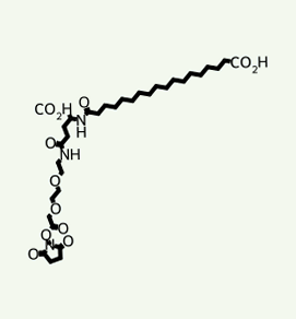 O=C(O)CCCCCCCCCCCCCCCCC(=O)NC(CCC(=O)NCCOCCOCC(=O)ON1C(=O)CCC1=O)C(=O)O